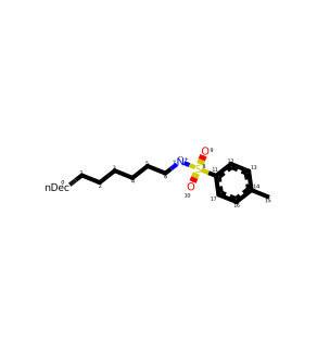 CCCCCCCCCCCCCCCC[N+]S(=O)(=O)c1ccc(C)cc1